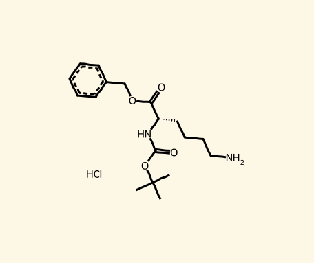 CC(C)(C)OC(=O)N[C@@H](CCCCN)C(=O)OCc1ccccc1.Cl